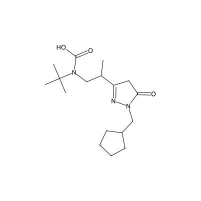 CC(CN(C(=O)O)C(C)(C)C)C1=NN(CC2CCCC2)C(=O)C1